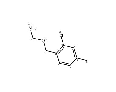 Cc1ccc(COCN)c(Cl)c1